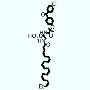 CC/C=C\C/C=C\C/C=C\C/C=C\C/C=C\C/C=C\CCC(=O)NCC(NC(=O)C(C)(C)Oc1ccc(C(=O)c2ccc(Cl)cc2)cc1)C(=O)O